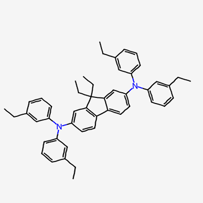 CCc1cccc(N(c2cccc(CC)c2)c2ccc3c(c2)C(CC)(CC)c2cc(N(c4cccc(CC)c4)c4cccc(CC)c4)ccc2-3)c1